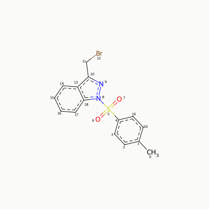 Cc1ccc(S(=O)(=O)n2nc(CBr)c3ccccc32)cc1